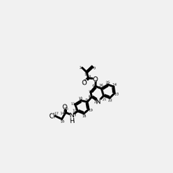 C=C(C)C(=O)Oc1cc(-c2ccc(NC(=O)CCl)cc2)nc2ccccc12